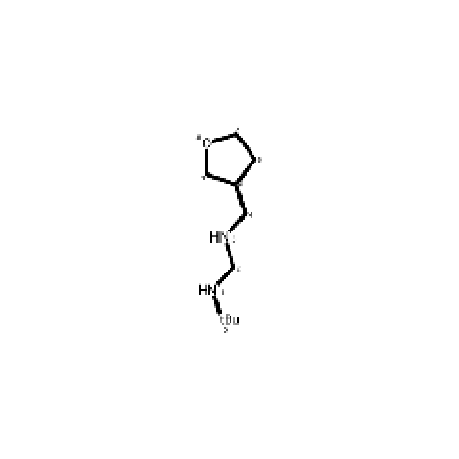 CC(C)(C)NCNCC1CCOC1